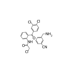 N#Cc1cccc(CN)c1.O=C(CCl)Nc1ccccc1C(=O)c1ccc(Cl)c(Cl)c1